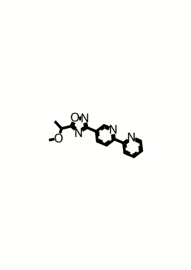 COC(C)c1nc(-c2ccc(-c3ccccn3)nc2)no1